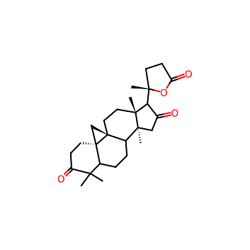 CC1(C)C(=O)CC[C@]23C[C@]24CC[C@]2(C)C([C@]5(C)CCC(=O)O5)C(=O)C[C@@]2(C)C4CCC13